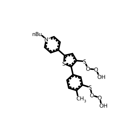 CCCC[n+]1ccc(-c2cc(SOOO)c(-c3ccc(C)c(SOOO)c3)s2)cc1